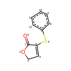 O=C1OCC=C1Sc1ccccc1